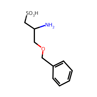 NC(COCc1ccccc1)CS(=O)(=O)O